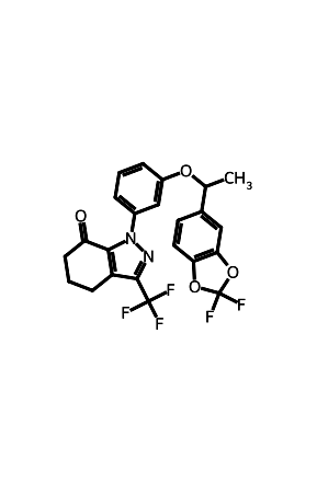 CC(Oc1cccc(-n2nc(C(F)(F)F)c3c2C(=O)CCC3)c1)c1ccc2c(c1)OC(F)(F)O2